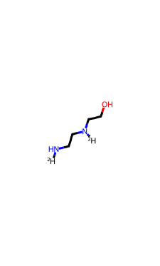 [2H]NCCN([2H])CCO